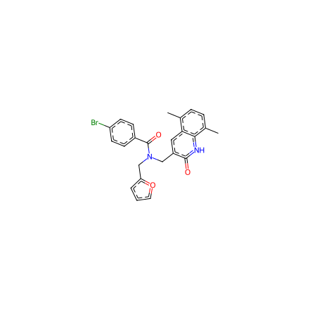 Cc1ccc(C)c2[nH]c(=O)c(CN(Cc3ccco3)C(=O)c3ccc(Br)cc3)cc12